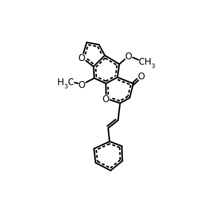 COc1c2occc2c(OC)c2c(=O)cc(C=Cc3ccccc3)oc12